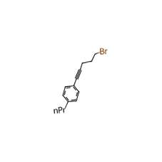 CCCc1ccc(C#CCCCBr)cc1